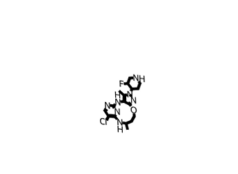 Cc1c2c(nn1C1CCNCC1F)OCCC(C)Nc1nc(ncc1Cl)N2